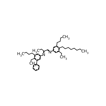 CCCCCCCCc1c(CC)cc(N=CC(CC)=Nc2cc(CCCC)c(CC)c(-c3ccccc3)c2)cc1CCCC